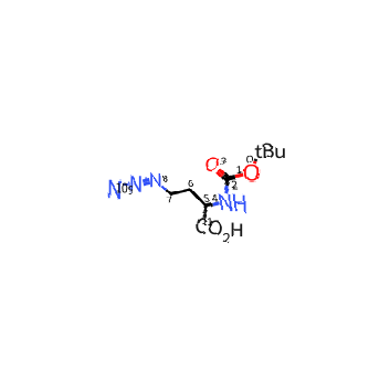 CC(C)(C)OC(=O)NC(CCN=[N+]=[N-])C(=O)O